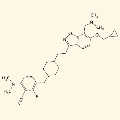 CN(C)Cc1c(OCC2CC2)ccc2c(CCC3CCN(Cc4ccc(N(C)C)c(C#N)c4F)CC3)noc12